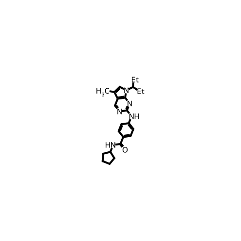 CCC(CC)n1cc(C)c2cnc(Nc3ccc(C(=O)NC4CCCC4)cc3)nc21